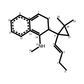 CCC=CC1(C2CC=c3ccccc3=C2NC)CC1(C)C